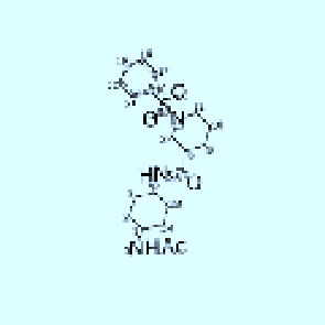 CC(=O)N[C@H]1CC[C@H](NC(=O)[C@H]2CCCN(S(=O)(=O)c3ccccc3)C2)CC1